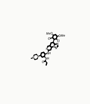 C=CC(=O)Nc1cc(N2CCN(C)CC2)ccc1Nc1cc2c(cn1)cc(-c1c(Cl)c(OC)cc(OC)c1Cl)c1ncnn12